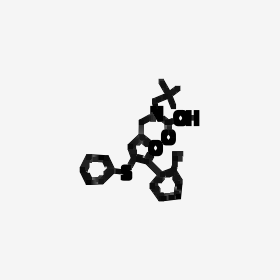 CC(C)(C)CN(Cc1cc(Sc2ccccc2)c(-c2ccccc2F)o1)C(=O)O